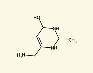 C[C@@H]1NC(CN)=CC(O)N1